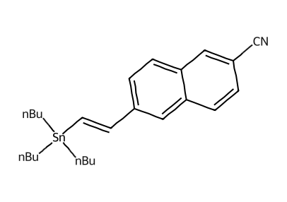 CCC[CH2][Sn](/[CH]=C/c1ccc2cc(C#N)ccc2c1)([CH2]CCC)[CH2]CCC